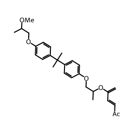 C=C(/C=C/C(C)=O)OC(C)COc1ccc(C(C)(C)c2ccc(OCC(C)OC)cc2)cc1